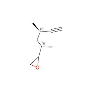 C#C[C@H](C)C[C@H](C)C1CO1